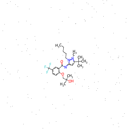 CCCCCn1c(=NC(=O)c2cc(C(F)(F)F)ccc2OCC(C)(C)O)cc(C(C)(C)C)n1C